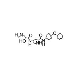 NC[C@H](O)C(=O)NC1CN[C@H](C(=O)Nc2ccc(Oc3ccccc3)cc2)C1